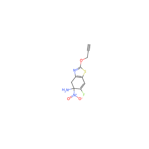 C#CCOc1nc2c(s1)C=C(F)C(N)([N+](=O)[O-])C2